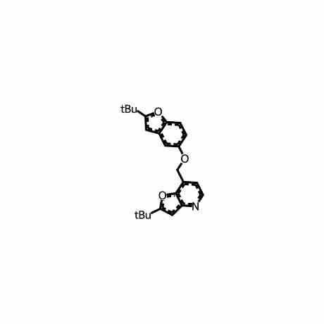 CC(C)(C)c1cc2cc(OCc3ccnc4cc(C(C)(C)C)oc34)ccc2o1